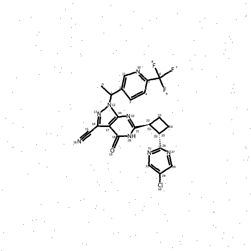 CC(c1ccc(C(F)(F)F)nc1)n1nc(C#N)c2c(=O)[nH]c([C@H]3CC[C@@H]3c3ncc(Cl)cn3)nc21